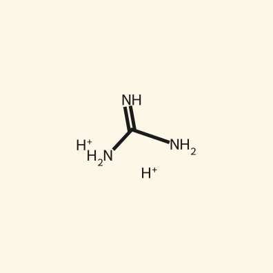 N=C(N)N.[H+].[H+]